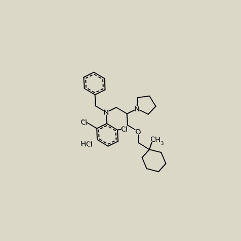 CC1(COCC(CN(Cc2ccccc2)c2c(Cl)cccc2Cl)N2CCCC2)CCCCC1.Cl